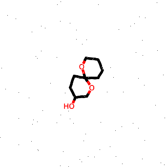 OC1CCC2(CCCCO2)OC1